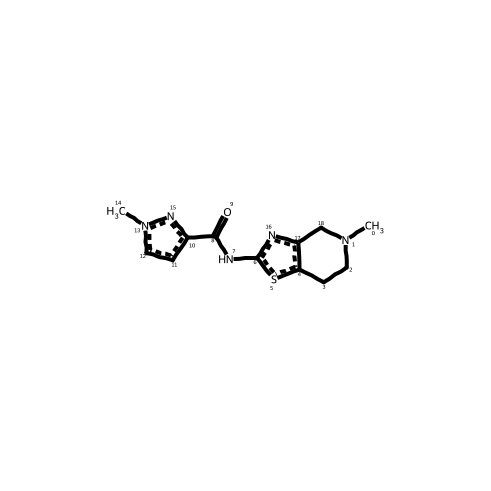 CN1CCc2sc(NC(=O)c3ccn(C)n3)nc2C1